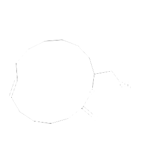 CCC1CCCCCC/C=C/CCCCC(=O)O1